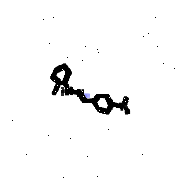 Cc1ccccc1N/N=C/c1ccc(N(C)C)cc1